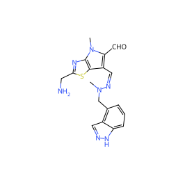 CN(Cc1cccc2[nH]ncc12)/N=C\c1c(C=O)n(C)c2nc(CN)sc12